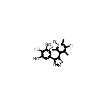 Cc1c(Cl)c(C)[n+]([O-])c(Cl)c1-c1snnc1-c1cc(O)c(O)c([N+](=O)[O-])c1